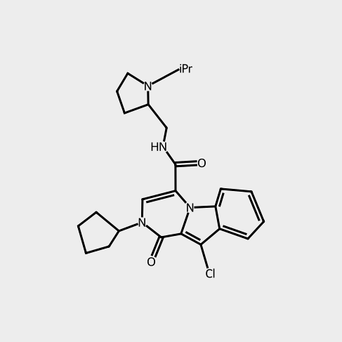 CC(C)N1CCCC1CNC(=O)c1cn(C2CCCC2)c(=O)c2c(Cl)c3ccccc3n12